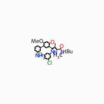 COc1cc2c(cc1-c1cccc(N)c1)-c1c(c(C(=O)N(C)C(C)(C)C)nn1-c1cc(Cl)cc(Cl)c1)CO2